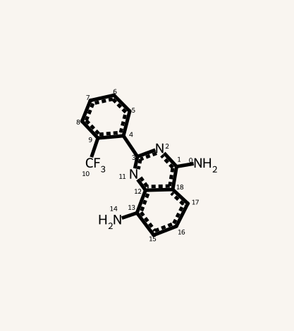 Nc1nc(-c2ccccc2C(F)(F)F)nc2c(N)cccc12